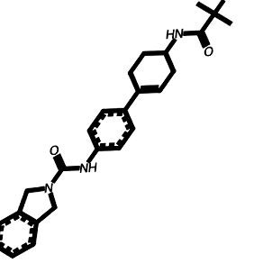 CC(C)(O)C(=O)NC1CC=C(c2ccc(NC(=O)N3Cc4ccccc4C3)cc2)CC1